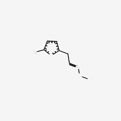 CC(C)ON=CCc1ccc([N+](=O)[O-])s1